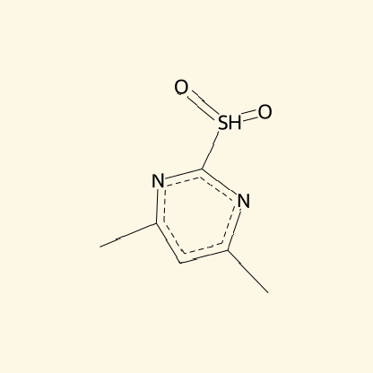 Cc1cc(C)nc([SH](=O)=O)n1